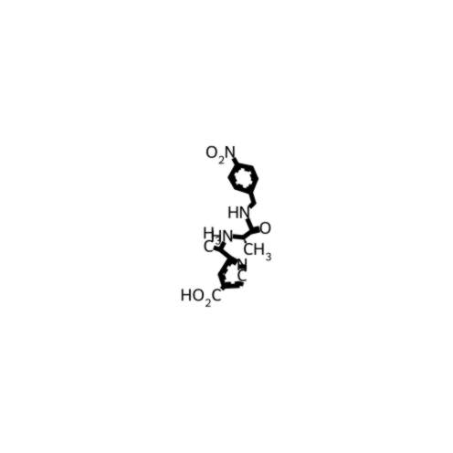 CC(N[C@@H](C)C(=O)NCc1ccc([N+](=O)[O-])cc1)c1cc(C(=O)O)ccn1